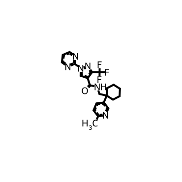 Cc1ccc(C2(CNC(=O)c3cn(-c4ncccn4)nc3C(F)(F)F)CCCCC2)cn1